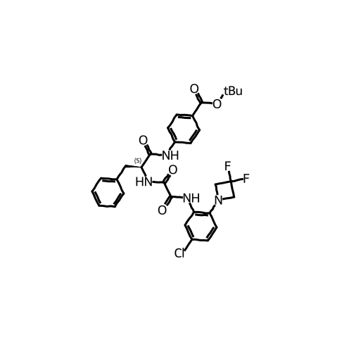 CC(C)(C)OC(=O)c1ccc(NC(=O)[C@H](Cc2ccccc2)NC(=O)C(=O)Nc2cc(Cl)ccc2N2CC(F)(F)C2)cc1